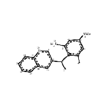 CNc1cc(C)c(C(C)c2cnc3ccccc3c2)c(P)c1